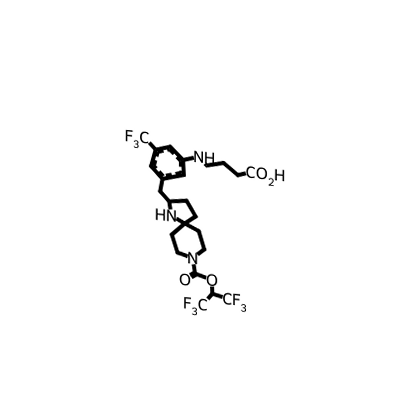 O=C(O)CCCNc1cc(CC2CCC3(CCN(C(=O)OC(C(F)(F)F)C(F)(F)F)CC3)N2)cc(C(F)(F)F)c1